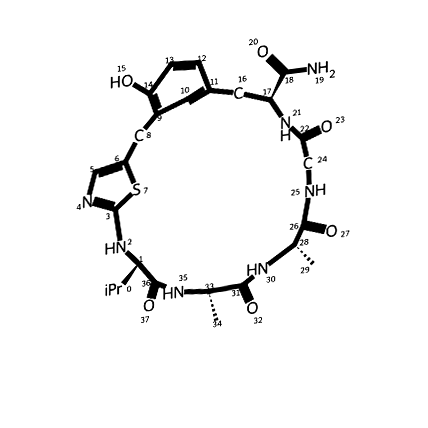 CC(C)[C@H]1Nc2ncc(s2)Cc2cc(ccc2O)C[C@@H](C(N)=O)NC(=O)CNC(=O)[C@H](C)NC(=O)[C@H](C)NC1=O